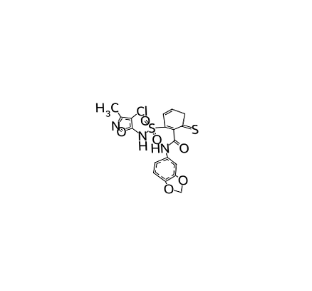 Cc1noc(NS(=O)(=O)C2=C(C(=O)Nc3ccc4c(c3)OCO4)C(=S)CC=C2)c1Cl